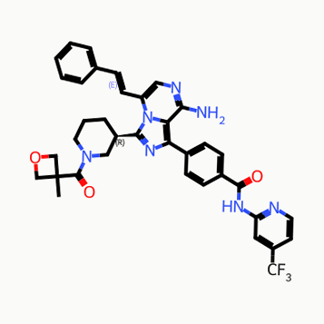 CC1(C(=O)N2CCC[C@@H](c3nc(-c4ccc(C(=O)Nc5cc(C(F)(F)F)ccn5)cc4)c4c(N)ncc(/C=C/c5ccccc5)n34)C2)COC1